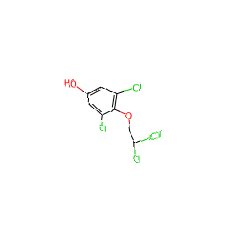 Oc1cc(Cl)c(OCC(Cl)Cl)c(Cl)c1